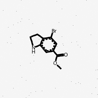 COC(=O)c1cc(Br)c2c(c1)NCC2